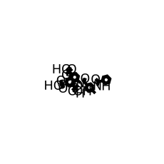 Cc1ccc(C(=O)Nc2ccc(S(=O)(=O)O)c3cc(S(=O)(=O)O)cc(S(=O)(=O)O)c23)cc1NC(=O)c1ccccc1